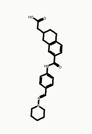 O=C(O)CC1CCc2ccc(C(=O)Nc3ccc(C=NN4CCCCC4)cc3)cc2C1